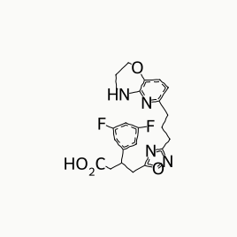 O=C(O)CC(Cc1nc(CCCc2ccc3c(n2)NCCCO3)no1)c1cc(F)cc(F)c1